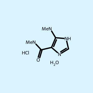 CNC(=O)c1nc[nH]c1NC.Cl.O